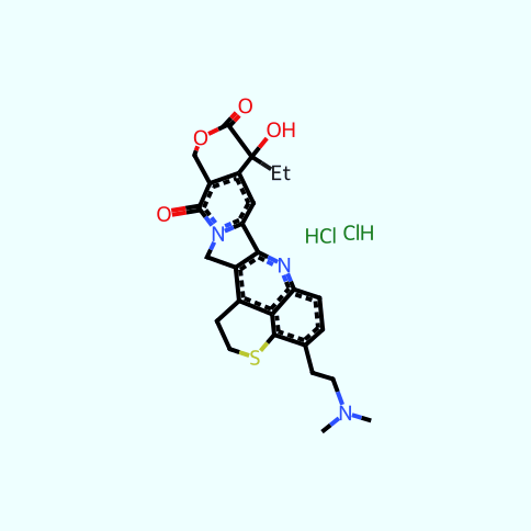 CCC1(O)C(=O)OCc2c1cc1n(c2=O)Cc2c-1nc1ccc(CCN(C)C)c3c1c2CCS3.Cl.Cl